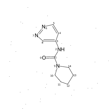 O=C(Nc1ccnnc1)N1CCCCC1